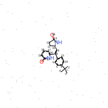 CC(C)(C)c1ccc(C(=C[C@H]2CCC(=O)N2)c2cccc(=O)[nH]2)cc1